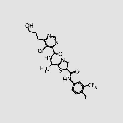 CC(NC(=O)c1ncnc(CCCO)c1Cl)C1=NCC(C(=O)Nc2ccc(F)c(C(F)(F)F)c2)S1